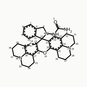 NC(=O)NN1Cc2ccccc2C12c1cc3c4c(c1Oc1c2cc2c5c1CCCN5CCC2)CCCN4CCC3